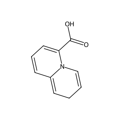 O=C(O)C1=CC=CC2=CCC=CN21